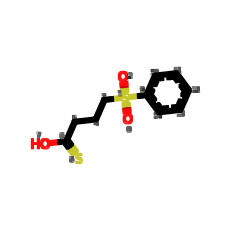 O=S(=O)(CCCC(O)=S)c1ccccc1